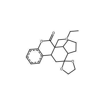 CCOCC12C(=O)Oc3ccccc3C1CC1(OCCO1)C1CCCC12